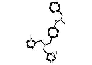 CN(Cc1ccccc1)Sc1ccc(CN(Cc2cnc[nH]2)Cc2ncc[nH]2)cc1